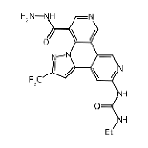 CCNC(=O)Nc1cc2c(cn1)c1cncc(C(=O)NN)c1n1nc(C(F)(F)F)cc21